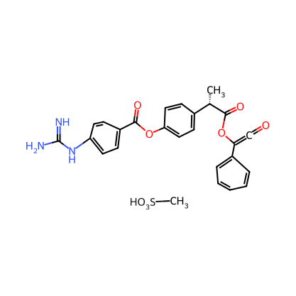 CS(=O)(=O)O.C[C@H](C(=O)OC(=C=O)c1ccccc1)c1ccc(OC(=O)c2ccc(NC(=N)N)cc2)cc1